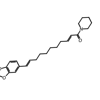 O=C(/C=C/CCCCCC/C=C/c1ccc2c(c1)OCO2)N1CCCCC1